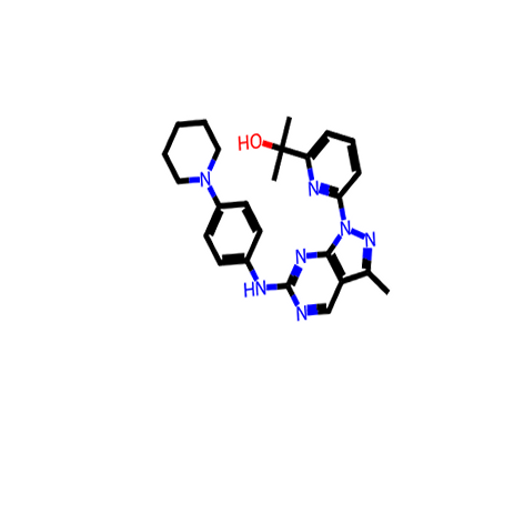 Cc1nn(-c2cccc(C(C)(C)O)n2)c2nc(Nc3ccc(N4CCCCC4)cc3)ncc12